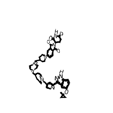 CC1(Oc2ccc3[nH]nc(-c4cc(N5CCC(CN6CCN(CC7CCN(c8ccc9c(c8)C(=O)N(C8CCC(=O)NC8=O)C9=O)CC7)CC6)CC5)ccn4)c3c2)CC1